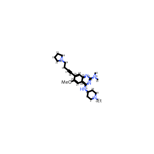 CCN1CCC(Nc2nc(N(C)C)nc3cc(C#CCCN4CCCC4)c(OC)cc23)CC1